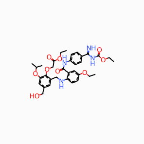 CCOC(=O)COc1c(CNc2ccc(OCC)cc2C(=O)Nc2ccc(C(=N)NC(=O)OCC)cc2)cc(CO)cc1OC(C)C